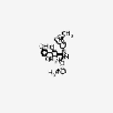 C=CC(=O)N1CCC(n2cnc3c(OC[C@@H]4CCCN4C)nc4c(F)c(-c5cc(O)ccc5C)c(Cl)cc4c32)CC1CC#N